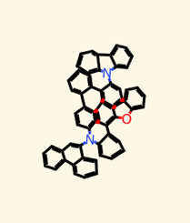 c1ccc(-c2ccccc2-n2c3ccccc3c3ccccc32)c(-c2ccc(N(c3ccccc3-c3cccc4c3oc3ccccc34)c3cc4ccccc4c4ccccc34)cc2)c1